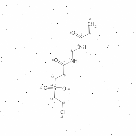 C=CC(=O)NCNC(=O)CCS(=O)(=O)CCCl